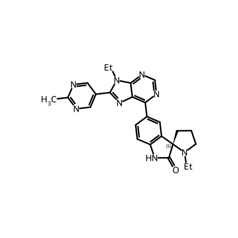 CCN1CCC[C@]12C(=O)Nc1ccc(-c3ncnc4c3nc(-c3cnc(C)nc3)n4CC)cc12